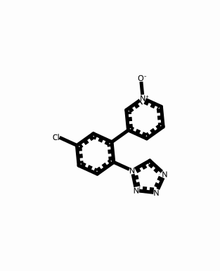 [O-][n+]1cccc(-c2cc(Cl)ccc2-n2cnnn2)c1